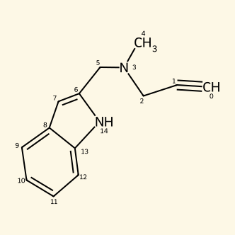 C#CCN(C)Cc1cc2ccccc2[nH]1